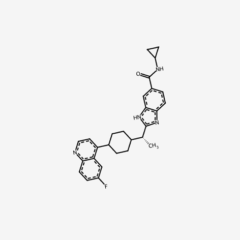 C[C@@H](c1nc2ccc(C(=O)NC3CC3)cc2[nH]1)C1CCC(c2ccnc3ccc(F)cc23)CC1